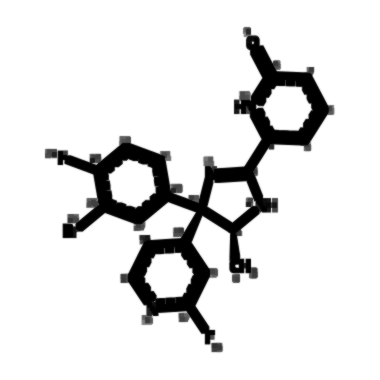 C[C@@H]1NC(c2cccc(=O)[nH]2)=N[C@@]1(c1ccnc(F)c1)c1ccc(F)c(Br)c1